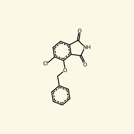 O=C1NC(=O)c2c1ccc(Cl)c2OCc1ccccc1